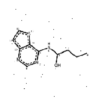 CCCC(O)Nc1ncnc2ccsc12